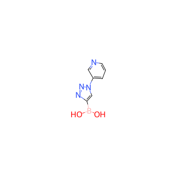 OB(O)c1cn(-c2cccnc2)nn1